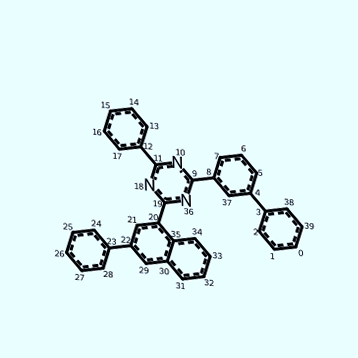 c1ccc(-c2cccc(-c3nc(-c4ccccc4)nc(-c4cc(-c5ccccc5)cc5ccccc45)n3)c2)cc1